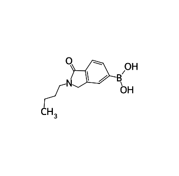 CCCCN1Cc2cc(B(O)O)ccc2C1=O